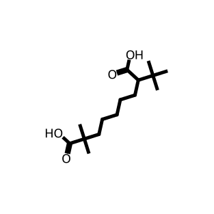 CC(C)(CCCCCC(C(=O)O)C(C)(C)C)C(=O)O